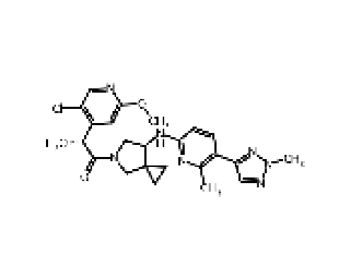 COc1cc([C@@H](C)C(=O)N2C[C@@H](Nc3ccc(-c4cnn(C)n4)c(C)n3)C3(CC3)C2)c(Cl)cn1